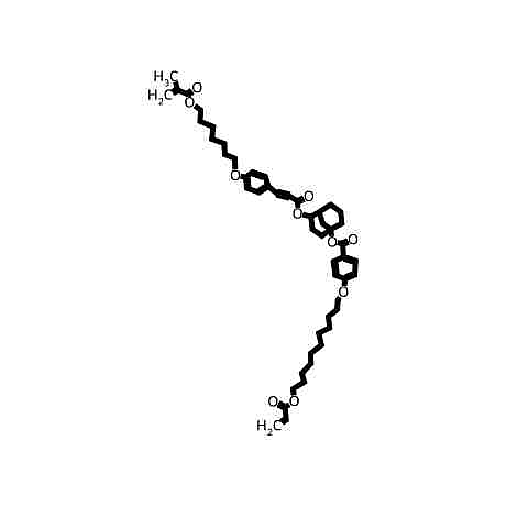 C=CC(=O)OCCCCCCCCCCCOc1ccc(C(=O)OC23CCCC(C2)C(OC(=O)C#Cc2ccc(OCCCCCCCOC(=O)C(=C)C)cc2)CC3)cc1